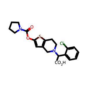 O=C(O)C(c1ccccc1Cl)N1CCc2sc(OC(=O)N3CCCC3)cc2C1